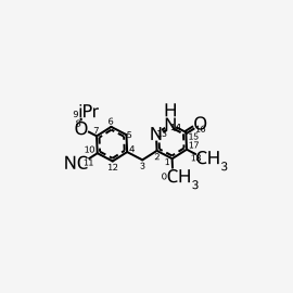 Cc1c(Cc2ccc(OC(C)C)c(C#N)c2)n[nH]c(=O)c1C